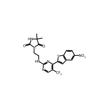 CC1(C)NC(=O)N(CCNc2ncc(C(F)(F)F)c(-c3cc4cc([N+](=O)[O-])ccc4s3)n2)C1=O